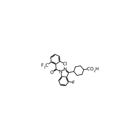 O=C(O)C1CCC(c2nn(C(=O)c3c(Cl)cccc3C(F)(F)F)c3cccc(F)c23)CC1